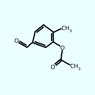 CC(=O)Oc1cc(C=O)ccc1C